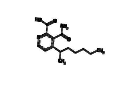 CCCCCC(C)c1ccnc(C(=O)O)c1C(N)=O